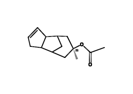 CC(=O)O[C@]1(C)CC2CC(C1)C1CC=CC21